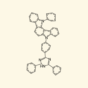 c1ccc(C2=NC(c3ccc(-n4c5ccccc5c5c4ccc4c6ccccc6n(-c6ccccc6)c45)cc3)=NC(c3ccccc3)N2)cc1